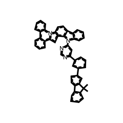 CC1(C)c2ccccc2-c2ccc(-c3cccc(-c4cc(-n5c6ccccc6c6ccc7c(cc8c9ccccc9c9ccccc9n87)c65)ncn4)c3)cc21